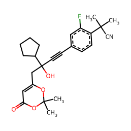 CC1(C)OC(=O)C=C(CC(O)(C#Cc2ccc(C(C)(C)C#N)c(F)c2)C2CCCC2)O1